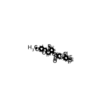 COc1ccc(CN2C(=O)CCc3c(OCC4(N=C=O)CCN(c5ccc(C(F)(F)F)cc5Cl)CC4)ccc(F)c32)cc1